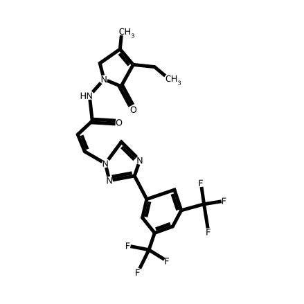 CCC1=C(C)CN(NC(=O)/C=C\n2cnc(-c3cc(C(F)(F)F)cc(C(F)(F)F)c3)n2)C1=O